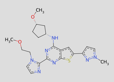 COCCn1ccnc1-c1nc(N[C@@H]2CC[C@H](OC)C2)c2cc(-c3ccn(C)n3)sc2n1